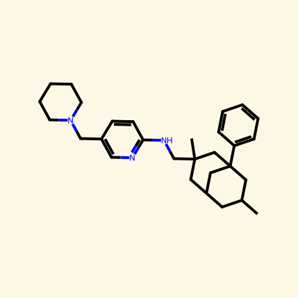 CC1CC2CC(C)(CNc3ccc(CN4CCCCC4)cn3)CC(c3ccccc3)(C1)C2